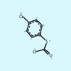 O=C(Cl)Sc1ccc(Cl)cc1